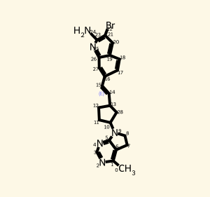 Cc1ncnc2c1CCN2C1CCC(/C=C/c2ccc3cc(Br)c(N)nc3c2)C1